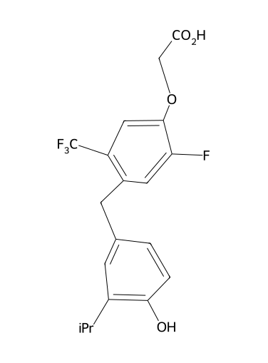 CC(C)c1cc(Cc2cc(F)c(OCC(=O)O)cc2C(F)(F)F)ccc1O